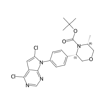 C[C@@H]1COC[C@H](c2ccc(-n3c(Cl)cc4c(Cl)ncnc43)cc2)N1C(=O)OC(C)(C)C